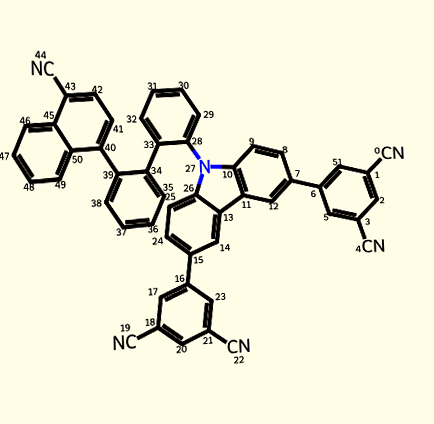 N#Cc1cc(C#N)cc(-c2ccc3c(c2)c2cc(-c4cc(C#N)cc(C#N)c4)ccc2n3-c2ccccc2-c2ccccc2-c2ccc(C#N)c3ccccc23)c1